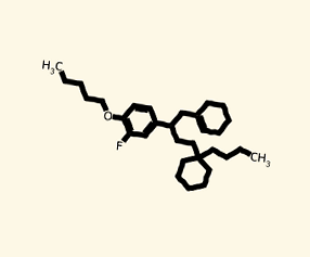 CCCCCOc1ccc(C(CCC2(CCCC)CCCCC2)CC2=CCCCC2)cc1F